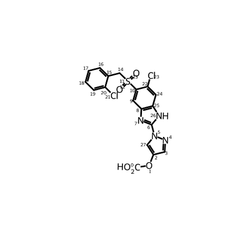 O=C(O)Oc1cnn(-c2nc3cc(S(=O)(=O)Cc4ccccc4Cl)c(Cl)cc3[nH]2)c1